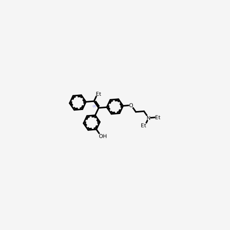 CC/C(=C(\c1ccc(OCCN(CC)CC)cc1)c1cccc(O)c1)c1ccccc1